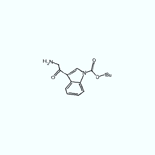 CC(C)(C)OC(=O)n1cc(C(=O)CN)c2ccccc21